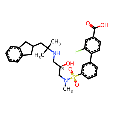 CN(C[C@H](O)CNC(C)(C)CC1Cc2ccccc2C1)S(=O)(=O)c1cccc(-c2ccc(C(=O)O)cc2F)c1